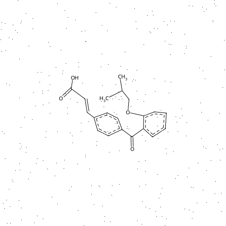 CC(C)COc1ccccc1C(=O)c1ccc(C=CC(=O)O)cc1